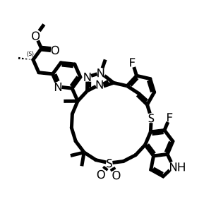 COC(=O)[C@@H](C)Cc1cccc(C2(C)CCCC(C)(C)CS(=O)(=O)CCc3c(c(F)cc4[nH]ccc34)Sc3ccc(F)c(c3)-c3nc2nn3C)n1